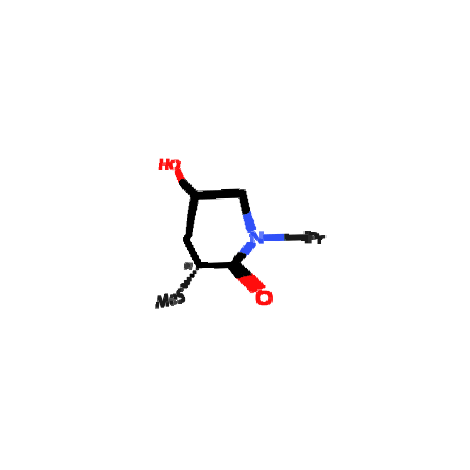 CS[C@@H]1CC(O)CN(C(C)C)C1=O